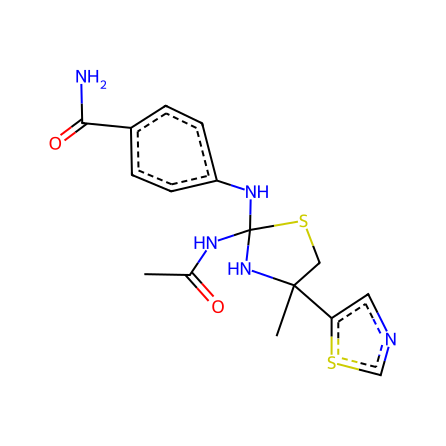 CC(=O)NC1(Nc2ccc(C(N)=O)cc2)NC(C)(c2cncs2)CS1